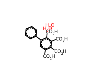 O.O.O=C(O)c1cc(-c2ccccc2)c(C(=O)O)c(C(=O)O)c1C(=O)O